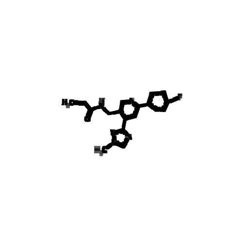 C=CC(=O)NCc1cnc(-c2ccc(F)cc2)cc1-c1ncn(C)n1